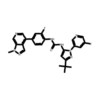 Cn1ncc2c(-c3ccc(NC(=O)Nc4cc(C(C)(C)C)nn4-c4cncc(F)c4)c(F)c3)cncc21